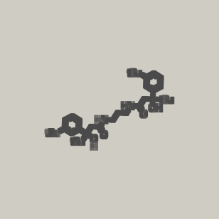 CC(C)(C)c1cccc(C(O)(CC(=O)NCCCNC(=O)CC(O)(c2cccc(C(C)(C)C)c2)C(C)(C)C)C(C)(C)C)c1